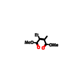 CC/C(C(=O)OC)=C(\C)C(=O)OC